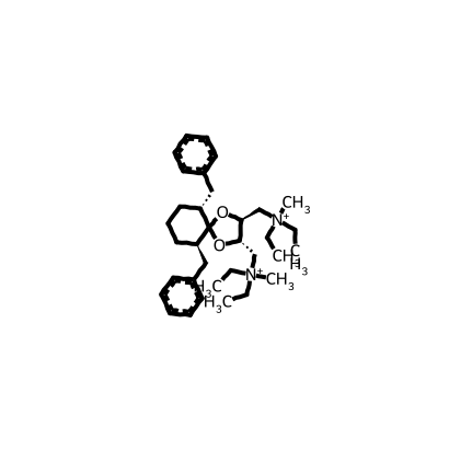 CC[N+](C)(CC)C[C@@H]1OC2(O[C@H]1C[N+](C)(CC)CC)[C@@H](Cc1ccccc1)CCC[C@@H]2Cc1ccccc1